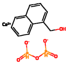 O=[PH]([O-])O[PH](=O)[O-].OCc1cccc2ccccc12.[Ca+2]